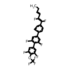 CC/C=C/C(F)=C(\F)c1ccc(-c2cc(F)c(-c3cc(F)c(OC(F)(F)F)c(F)c3)c(F)c2)cc1